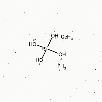 O[Si](O)(O)O.P.[GeH4]